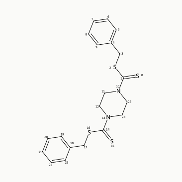 S=C(SCc1ccccc1)N1CCN(C(=S)SCc2ccccc2)CC1